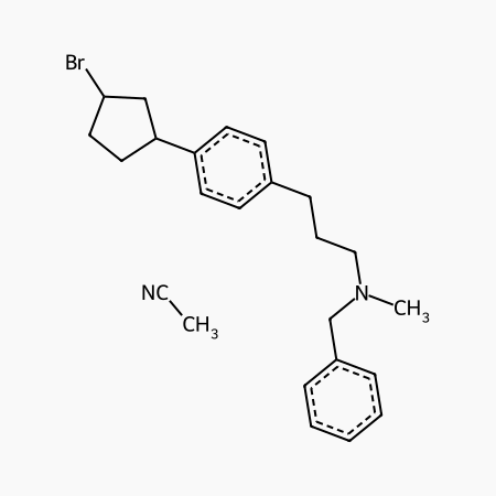 CC#N.CN(CCCc1ccc(C2CCC(Br)C2)cc1)Cc1ccccc1